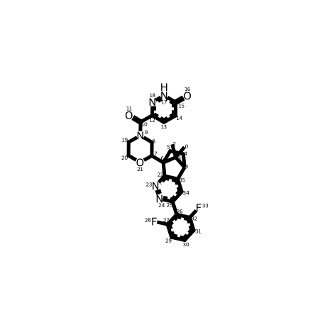 CC1(C)C2CCC1(C1CN(C(=O)c3ccc(=O)[nH]n3)CCO1)c1nnc(-c3c(F)cccc3F)cc12